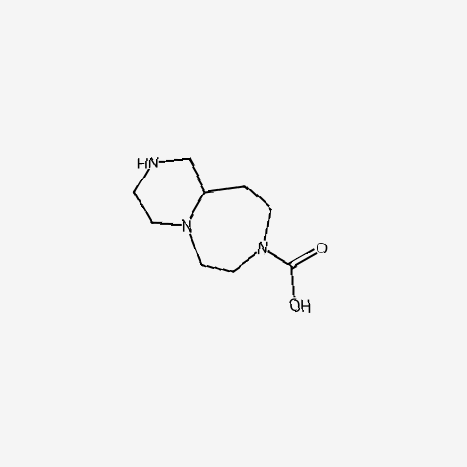 O=C(O)N1CCC2CNCCN2CC1